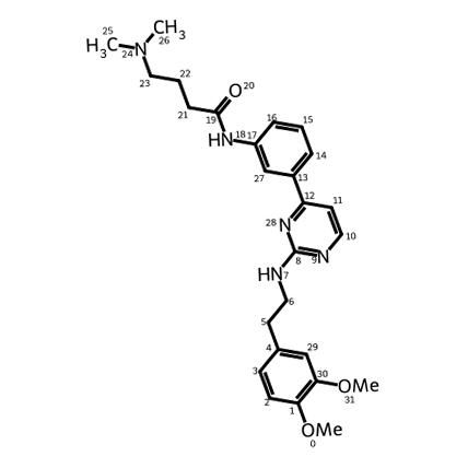 COc1ccc(CCNc2nccc(-c3cccc(NC(=O)CCCN(C)C)c3)n2)cc1OC